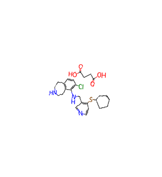 Clc1ccc2c(c1NCc1cnccc1SC1CCCCC1)CCNCC2.O=C(O)CCC(=O)O